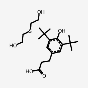 CC(C)(C)c1cc(CCC(=O)O)cc(C(C)(C)C)c1O.OCCSCCO